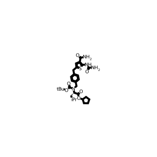 CC(C)C[C@@H](C(=O)OC1CCCC1)N(Cc1ccc(Cc2cc(C(N)=O)c(NC(N)=O)s2)cc1)C(=O)OC(C)(C)C